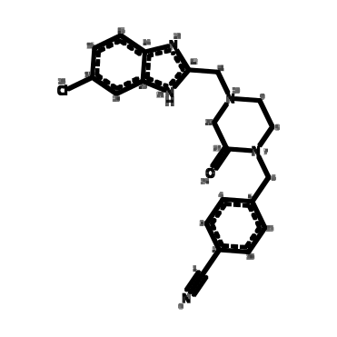 N#Cc1ccc(CN2CCN(Cc3nc4ccc(Cl)cc4[nH]3)CC2=O)cc1